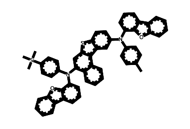 Cc1ccc(N(c2ccc3sc4cc(N(c5ccc([Si](C)(C)C)cc5)c5cccc6c5oc5ccccc56)c5ccccc5c4c3c2)c2cccc3c2oc2ccccc23)cc1